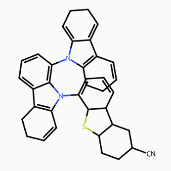 N#CC1CCC2SC3C(n4c5c(c6cccc(-n7c8c(c9c7=CCCC=9)C=CCC8)c64)CCC=C5)=CC=CC3C2C1